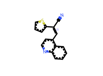 N#C/C(=C/c1ccnc2ccccc12)c1cccs1